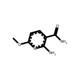 COc1ccc(C(N)=O)c(N)n1